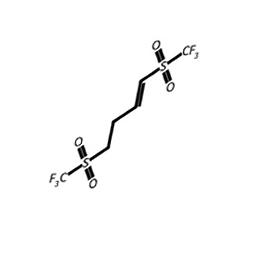 O=S(=O)(C=CCCS(=O)(=O)C(F)(F)F)C(F)(F)F